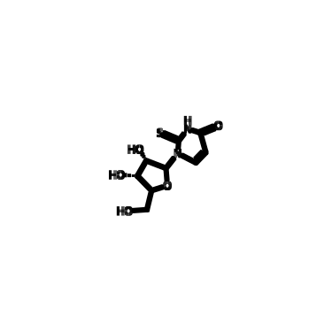 O=c1ccn(C2OC(CO)[C@H](O)[C@@H]2O)c(=S)[nH]1